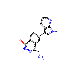 Cn1cc(-c2ccc3c(=O)[nH]nc(CN)c3c2)c2cccnc21